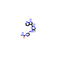 CNC(=O)N1CC[C@@H](CNC2=C(F)CNC(c3c[nH]c4ncccc34)=N2)C1